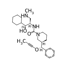 CC#CO[C@@H](c1ccccc1)[C@@H]1CCCN(C(=O)N[C@H](CNC)[C@@H](O)C2CCCCC2)C1